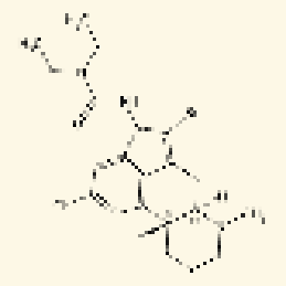 CCN(CC)C(=O)Nn1c(Br)c2c3c(cc(Cl)cc31)[C@H]1CCCN(C)[C@@H]1C2